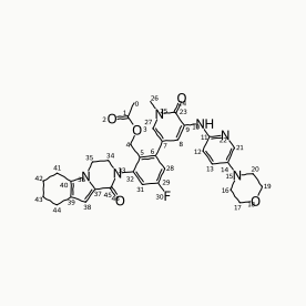 CC(=O)OCc1c(-c2cc(Nc3ccc(N4CCOCC4)cn3)c(=O)n(C)c2)cc(F)cc1N1CCn2c(cc3c2CCCC3)C1=O